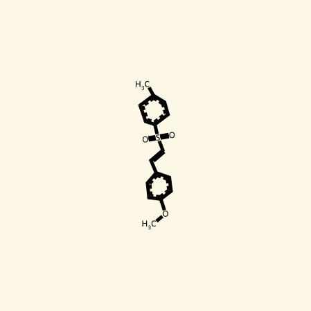 COc1ccc(/C=C/S(=O)(=O)c2ccc(C)cc2)cc1